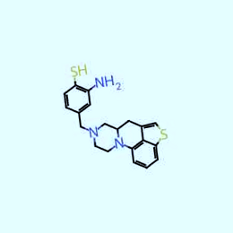 Nc1cc(CN2CCN3c4cccc5scc(c45)CC3C2)ccc1S